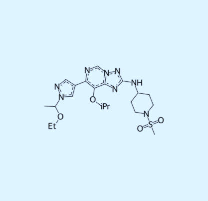 CCOC(C)n1cc(-c2ncn3nc(NC4CCN(S(C)(=O)=O)CC4)nc3c2OC(C)C)cn1